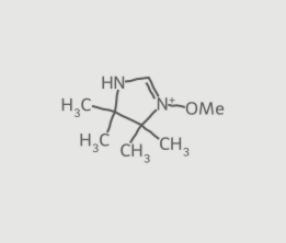 CO[N+]1=CNC(C)(C)C1(C)C